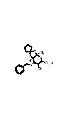 C[C@]12O[C@@H](C(=O)O)[C@@H](O)[C@H](OCc3ccccc3)[C@H]1OC1(CCCC1)O2